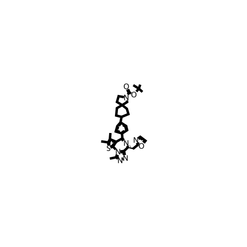 Cc1sc2c(c1C)C(c1ccc(C3CCC4(CC3)CCN(C(=O)OC(C)(C)C)C4)cc1)=N[C@@H](Cc1ncco1)c1nnc(C)n1-2